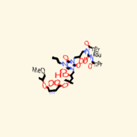 C=CCn1c(=O)n(CC(O)CN(C(=O)CCC)C(=O)N(C(=O)CCC)C(C)(C)C)c(=O)n(CC(O)CC(C)(C)OC(=O)/C=C\C(=O)OC(C)COC)c1=O